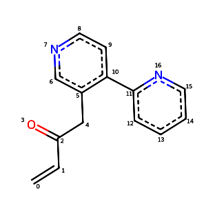 C=CC(=O)Cc1cnccc1-c1ccccn1